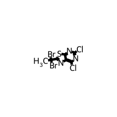 CC(Br)(Br)c1nc2c(Cl)nc(Cl)nc2s1